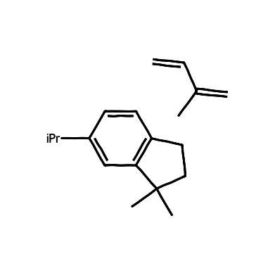 C=CC(=C)C.CC(C)c1ccc2c(c1)C(C)(C)CC2